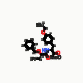 COC(=O)[C@H](Cc1ccc(OCC(C)(C)C)cc1)NC(=O)[C@H](CC(C)C)OCc1ccccc1